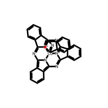 c1ccc2c(c1)C1=Nc3c4ccccc4c4[n]3[Cu]35[n]6c(c7ccccc7c6=NC6=[N+]3C(=N4)c3ccccc36)=NC2=[N+]15